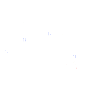 O=C(Nc1ccc(Cl)c(-c2ccc3cnccc3n2)c1)c1ccc(N2CCCS2(=O)=O)cc1F